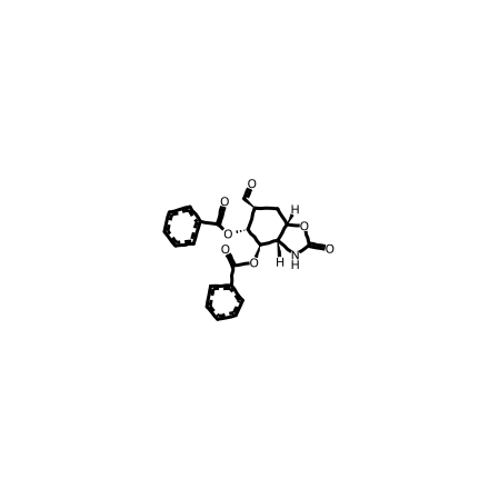 O=C[C@H]1C[C@@H]2OC(=O)N[C@@H]2[C@@H](OC(=O)c2ccccc2)[C@@H]1OC(=O)c1ccccc1